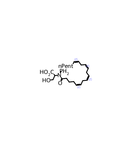 CCCCC/C=C\C/C=C\C/C=C\C/C=C\CCCC(=O)N(P)C(CO)C(=O)O